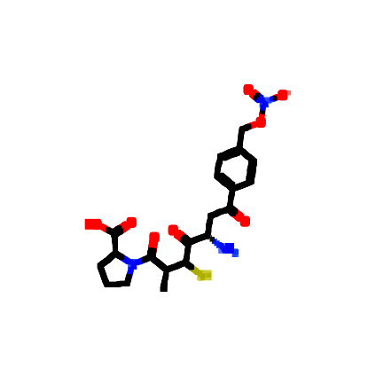 C[C@@H](C(=O)N1CCC[C@H]1C(=O)O)C(S)C(=O)[C@@H](N)CC(=O)c1ccc(CO[N+](=O)[O-])cc1